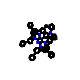 N#Cc1ccc2c(c1)c1cc(C#N)ccc1n2-c1c(-n2c3ccc(-c4ccccc4)cc3c3cc(-c4ccccc4)ccc32)nc(-n2c3ccc(-c4ccccc4)cc3c3cc(-c4ccccc4)ccc32)c(-n2c3ccc(C#N)cc3c3cc(C#N)ccc32)c1-c1ccc2c(c1)c1ccccc1n2-c1ccccc1